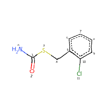 NC(=O)SCc1ccccc1Cl